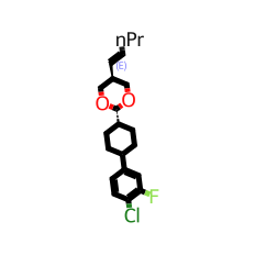 CCC/C=C/[C@H]1CO[C@H](C2CCC(c3ccc(Cl)c(F)c3)CC2)OC1